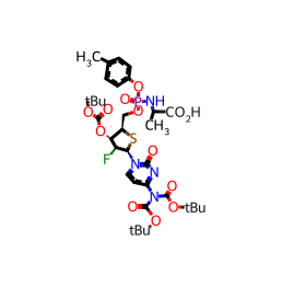 Cc1ccc(OP(=O)(NC(C)C(=O)O)OC[C@H]2S[C@@H](n3ccc(N(C(=O)OC(C)(C)C)C(=O)OC(C)(C)C)nc3=O)[C@@H](F)[C@@H]2OC(=O)OC(C)(C)C)cc1